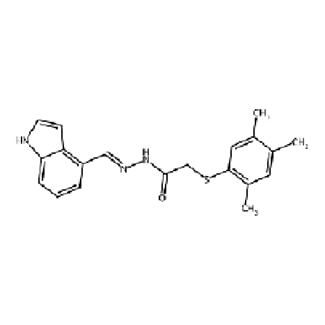 Cc1cc(C)c(SCC(=O)N/N=C/c2cccc3[nH]ccc23)cc1C